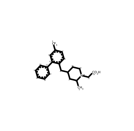 CC1CC(Cc2ccc(C(F)(F)F)cc2-c2ccccc2)CCN1CC(=O)O